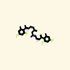 C=C(/C=C\C=C(/C)c1c(C)cc(F)cc1F)C/C(C)=C/C=C\C(=C)c1c(C)cc(F)cc1F